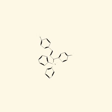 O=P(c1ccccc1)(c1ccccc1)C(C=Cc1ccc(Cl)cc1)c1ccc(Cl)cc1